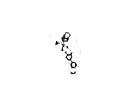 C[C@]12CCC[C@](C)(C1)[C@H](F)[C@H](N(c1cnc(-c3ccc(-c4cnc5c(n4)OCCO5)cc3O)nn1)C1CC1)C2